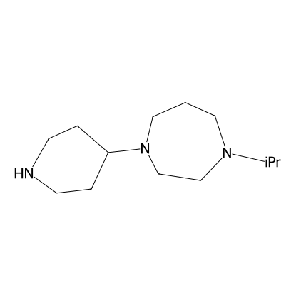 CC(C)N1CCCN(C2CCNCC2)CC1